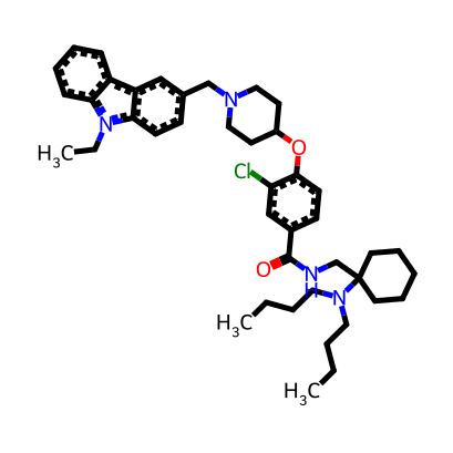 CCCCN(CCCC)C1(CNC(=O)c2ccc(OC3CCN(Cc4ccc5c(c4)c4ccccc4n5CC)CC3)c(Cl)c2)CCCCC1